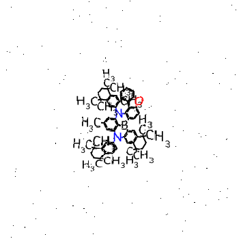 Cc1cc2c3c(c1)N(c1cc4c(cc1C)C(C)(C)CCC4(C)C)c1c(ccc4oc5ccccc5c14)B3c1cc3c(cc1N2c1ccc2c(c1)C(C)(C)CCC2(C)C)C(C)(C)CCC3(C)C